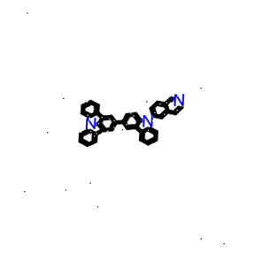 c1ccc2c(c1)c1cc(-c3cc4c5ccccc5n5c6ccccc6c(c3)c45)ccc1n2-c1ccc2cnccc2c1